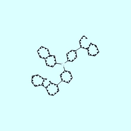 c1cc(-c2cccc3c2oc2ccccc23)cc(N(c2ccc(-c3cccc4ccccc34)cc2)c2ccc3ccccc3c2)c1